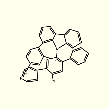 N#Cc1cc(-c2ccccc2)c(-n2c3ccccc3c3cccc(-c4ccc(C(F)(F)F)cc4C(F)(F)F)c32)cc1-c1ccncc1